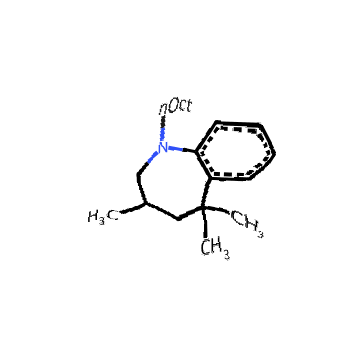 CCCCCCCCN1CC(C)CC(C)(C)c2ccccc21